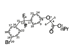 CC(C)OC(=O)C(C)(C)Oc1ccc(C(F)(F)Cc2ccc(Br)cc2)cc1